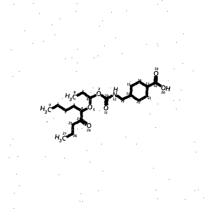 CCCCC(OC(CC)OC(=O)NCC1CCC(C(=O)O)CC1)C(=O)CCC